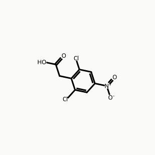 O=C(O)Cc1c(Cl)cc([N+](=O)[O-])cc1Cl